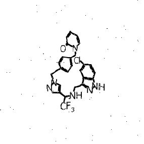 O=c1ccccn1Cc1ccc(Cn2cc(C(NCc3n[nH]c4ccc(Cl)cc34)C(F)(F)F)cn2)cc1